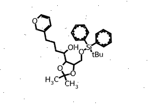 CC1(C)OC(CO[Si](c2ccccc2)(c2ccccc2)C(C)(C)C)C(C(O)CCCC2=CC=COC2)O1